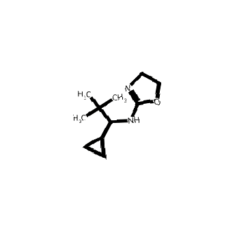 CC(C)(C)C(NC1=NCCO1)C1CC1